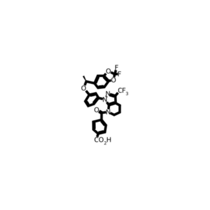 C[C@H](Oc1cccc(-n2nc(C(F)(F)F)c3c2N(C(=O)c2ccc(C(=O)O)cc2)CCC3)c1)c1ccc2c(c1)OC(F)(F)O2